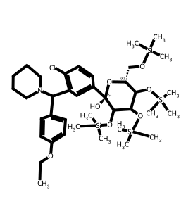 CCOc1ccc(C(c2cc([C@]3(O)O[C@H](CO[Si](C)(C)C)C(O[Si](C)(C)C)C(O[Si](C)(C)C)C3O[Si](C)(C)C)ccc2Cl)N2CCCCC2)cc1